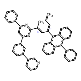 C=C/C=C(\C=C(/C)c1nc(-c2cccnc2)cc(-c2cccc(-c3cccnc3)c2)n1)c1c2ccccc2c(-c2ccccc2)c2ccccc12